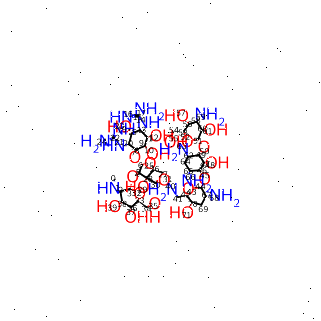 CN[C@@H]1[C@H](O[C@H]2[C@H](O[C@H]3[C@H](O)[C@@H](O)[C@H](NC(=N)N)[C@@H](O)[C@@H]3NC(=N)N)O[C@@H](C)[C@]2(O)C=O)O[C@@H](CO)[C@H](O)[C@H]1O.NC[C@H]1O[C@H](O[C@H]2[C@H](O)[C@@H](O[C@H]3O[C@H](CO)[C@@H](O)[C@H](N)[C@H]3O)[C@H](N)C[C@@H]2N)[C@H](N)C[C@@H]1O